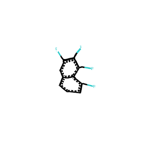 Fc1cc2[c]ccc(F)c2c(F)c1F